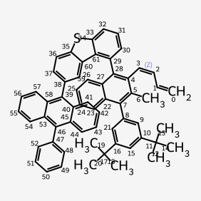 C=C/C=C\c1c(C)c(-c2cc(C(C)(C)C)cc(C(C)(C)C)c2)c2ccccc2c1-c1cccc2sc3ccc(-c4c5ccccc5c(-c5ccccc5)c5ccccc45)cc3c12